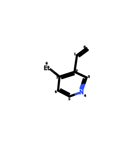 C=Cc1cnccc1CC